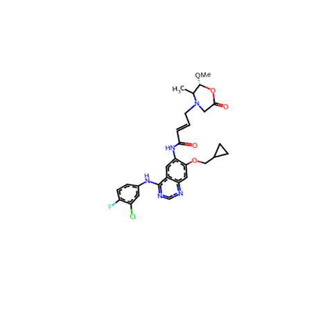 CO[C@@H]1OC(=O)CN(CC=CC(=O)Nc2cc3c(Nc4ccc(F)c(Cl)c4)ncnc3cc2OCC2CC2)C1C